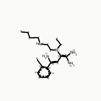 CCCCNCCN(CC)C(/C=C(\N)c1ccccc1C)=C(N)N